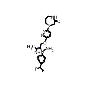 C/C(N)=C(\COc1ccc(N2CCCNC(=O)C2)nn1)N(N)c1ccc(C(F)F)cc1